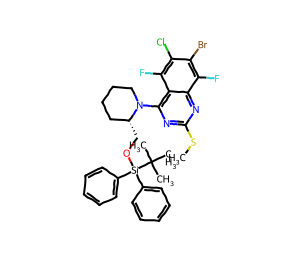 CSc1nc(N2CCCC[C@H]2CO[Si](c2ccccc2)(c2ccccc2)C(C)(C)C)c2c(F)c(Cl)c(Br)c(F)c2n1